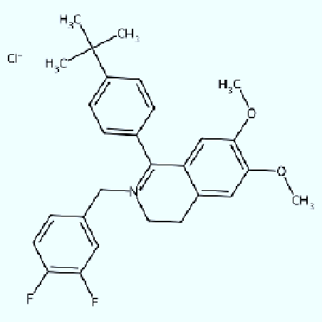 COc1cc2c(cc1OC)C(c1ccc(C(C)(C)C)cc1)=[N+](Cc1ccc(F)c(F)c1)CC2.[Cl-]